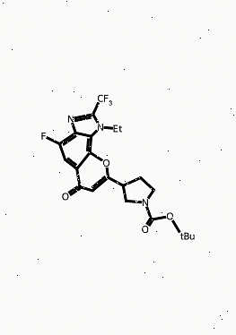 CCn1c(C(F)(F)F)nc2c(F)cc3c(=O)cc(C4CCN(C(=O)OC(C)(C)C)C4)oc3c21